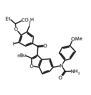 CCCCc1oc2ccc(N(C(N)=O)c3ccc(OC)cc3)cc2c1C(=O)c1cc(I)c(OC(CC)C(=O)O)c(I)c1